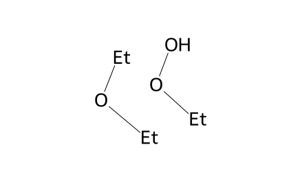 CCOCC.CCOO